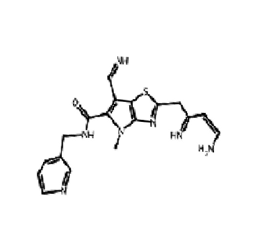 Cn1c(C(=O)NCc2cccnc2)c(C=N)c2sc(CC(=N)/C=C\N)nc21